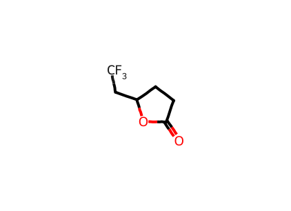 O=C1CCC(CC(F)(F)F)O1